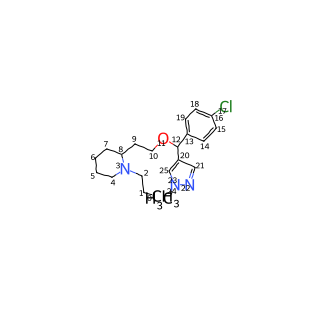 CCCN1CCCCC1CCOC(c1ccc(Cl)cc1)c1cnn(C)c1